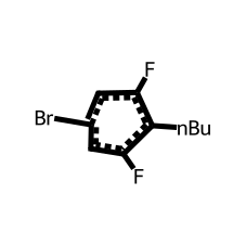 CCCCc1c(F)cc(Br)cc1F